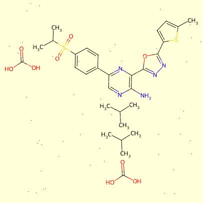 CC(C)C.CC(C)C.Cc1ccc(-c2nnc(-c3nc(-c4ccc(S(=O)(=O)C(C)C)cc4)cnc3N)o2)s1.O=C(O)O.O=C(O)O